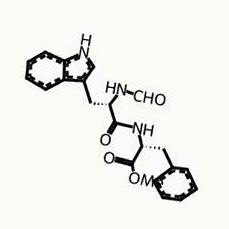 COC(=O)[C@@H](Cc1ccccc1)NC(=O)[C@H](Cc1c[nH]c2ccccc12)NC=O